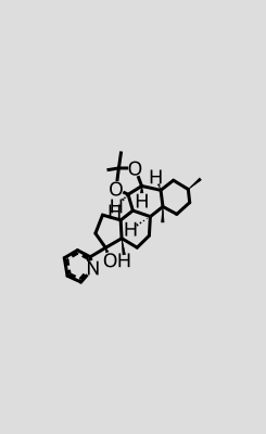 C[C@H]1CC[C@@]2(C)[C@H](C1)[C@H]1OC(C)(C)O[C@@H]1C1[C@@H]2CC[C@@]2(C)[C@H]1CC[C@@]2(O)c1ccccn1